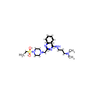 CCS(=O)(=O)N1CCN(Cc2nc(NCCCN(C)C)c3ccccc3n2)CC1